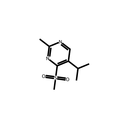 Cc1ncc(C(C)C)c(S(C)(=O)=O)n1